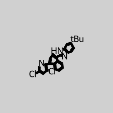 CC(C)(C)c1ccc2nc(-c3ccc(-c4ncc(Cl)cc4Cl)c4ccccc34)[nH]c2c1